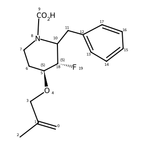 C=C(C)CO[C@H]1CCN(C(=O)O)C(Cc2ccccc2)[C@@H]1F